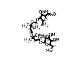 BC1OC(CN=O)C(OC)C1OCOC(C)(C)CCOC(C)(C)CCOC1OC(CO)C(O)C(O)C1NC(C)=O